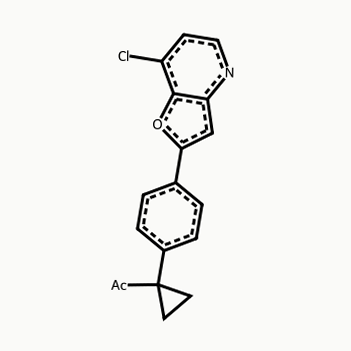 CC(=O)C1(c2ccc(-c3cc4nccc(Cl)c4o3)cc2)CC1